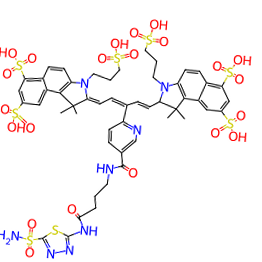 CC1(C)C(=CC=C(/C=C/C2N(CCCS(=O)(=O)O)c3ccc4c(S(=O)(=O)O)cc(S(=O)(=O)O)cc4c3C2(C)C)c2ccc(C(=O)NCCCC(=O)Nc3nnc(S(N)(=O)=O)s3)cn2)N(CCCS(=O)(=O)O)c2ccc3c(S(=O)(=O)O)cc(S(=O)(=O)O)cc3c21